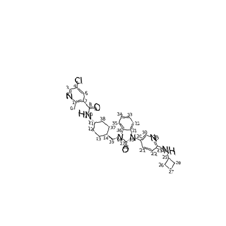 Cc1ncc(Cl)cc1C(=O)N[C@H]1CC[C@H](Cn2c(=O)n(-c3ccc(NC4CCC4)nc3)c3ccccc32)CC1